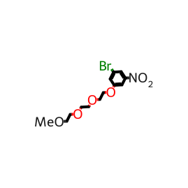 COCCOCCOCCOc1cc(Br)cc([N+](=O)[O-])c1